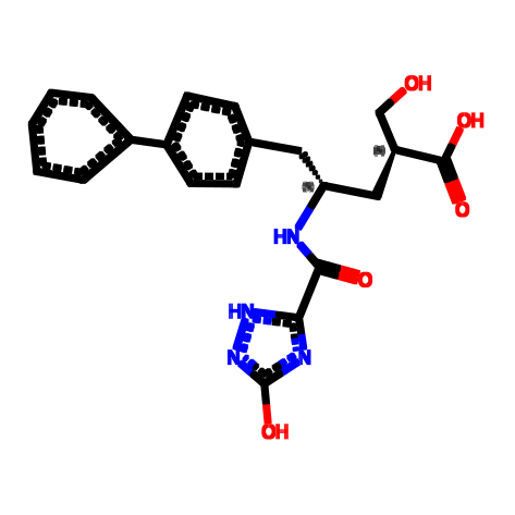 O=C(N[C@H](Cc1ccc(-c2ccccc2)cc1)C[C@@H](CO)C(=O)O)c1nc(O)n[nH]1